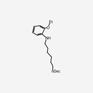 CCCCCCCCCCCCCCCCNc1ccccc1OCC